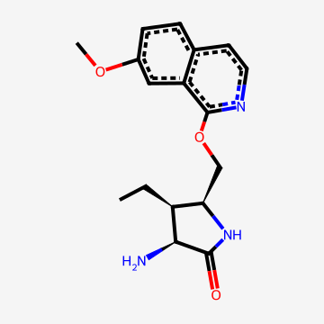 CC[C@@H]1[C@H](N)C(=O)N[C@@H]1COc1nccc2ccc(OC)cc12